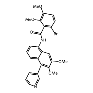 COc1ccc(Br)c(C(=O)Nc2cccc3c(-c4cccnc4)c(OC)c(OC)cc23)c1OC